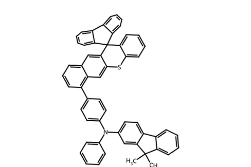 CC1(C)c2ccccc2-c2ccc(N(c3ccccc3)c3ccc(-c4cccc5cc6c(cc45)Sc4ccccc4C64c5ccccc5-c5ccccc54)cc3)cc21